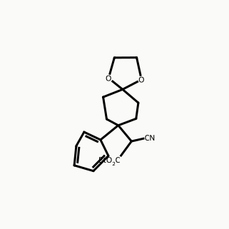 CCOC(=O)C(C#N)C1(c2ccccc2)CCC2(CC1)OCCO2